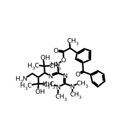 CC(C(=O)ONC(=NC(C(CN)C(C)(C)O)C(C)(C)O)N=C(N(C)C)N(C)C)c1cccc(C(=O)c2ccccc2)c1